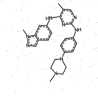 Cc1cnc(Nc2ccc(N3CCN(C)CC3)cc2)nc1Nc1ccc2cnn(C)c2c1